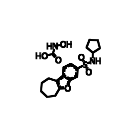 O=C(O)NO.O=S(=O)(NC1CCCC1)c1ccc2c3c(oc2c1)CCCCC3